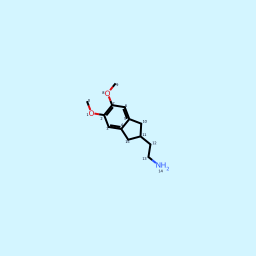 COc1cc2c(cc1OC)CC(CCN)C2